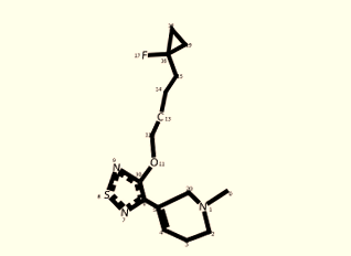 CN1CCC=C(c2nsnc2OCCCCC2(F)CC2)C1